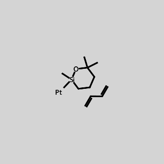 C=CC=C.CC1(C)CCC[Si](C)(C)O1.[Pt]